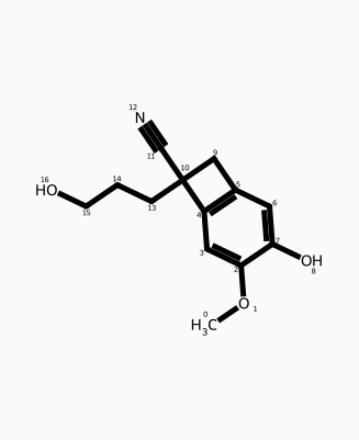 COc1cc2c(cc1O)CC2(C#N)CCCO